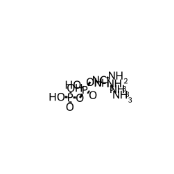 N.N.N.N.N#CN.O=P(O)(O)OP(=O)(O)O